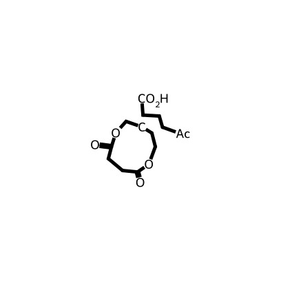 CC(=O)CCCC(=O)O.O=C1CCC(=O)OCCCCO1